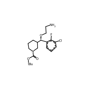 CC(C)(C)OC(=O)N1CCCC([C@@H](OCCN)c2cccc(Cl)c2F)C1